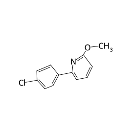 COc1cccc(-c2ccc(Cl)cc2)n1